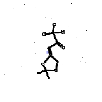 CC1(C)OC/C(=C\C(=O)C(Cl)(Cl)Cl)O1